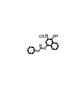 O=C(O)c1cc(SNCc2ccccc2)c2ccccc2c1O